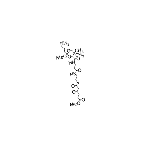 COC(=O)CCC(=O)CC(=O)SCCNC(=O)CCNC(=O)[C@@H]1OC(CCCN)(OC)OCC1(C)C